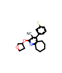 N#Cc1c(OC2CCOC2)nc2c(c1-c1cccc(F)c1)CCCCC2